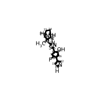 CN(c1nnc(-c2cc(F)c(-c3cn[nH]c3)cc2O)s1)[C@@H]1C[C@H]2CC[C@H](N2)[C@@H]1F